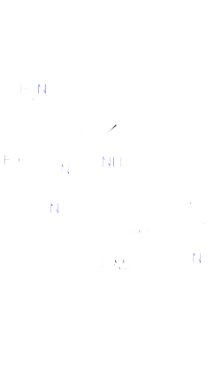 COc1cc2nc(C)nc(N[C@H](C)c3cc(N)cc(C(F)(F)F)c3)c2cc1OCC1(CN(C)C)CC1